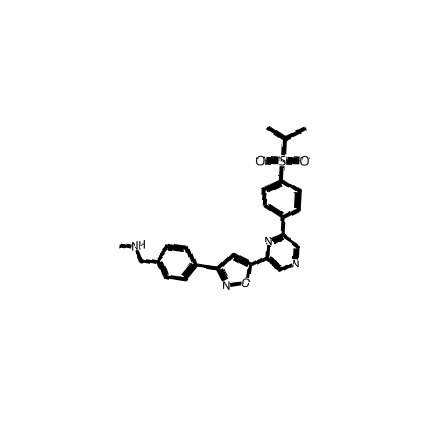 CNCc1ccc(-c2cc(-c3cncc(-c4ccc(S(=O)(=O)C(C)C)cc4)n3)on2)cc1